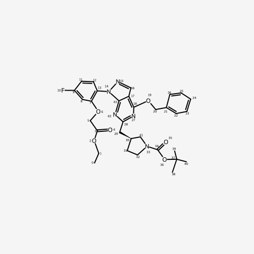 CCOC(=O)COc1cc(F)ccc1-n1ncc2c(OCc3ccccc3)nc(C[C@@H]3CCN(C(=O)OC(C)(C)C)C3)nc21